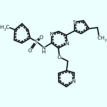 CCc1csc(-c2cnc(NS(=O)(=O)c3ccc(C)cc3)c(OCc3cccnc3)n2)c1